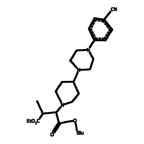 CCOC(=O)C(C)C(C(=O)OC(C)(C)C)N1CCC(N2CCN(c3ccc(C#N)cc3)CC2)CC1